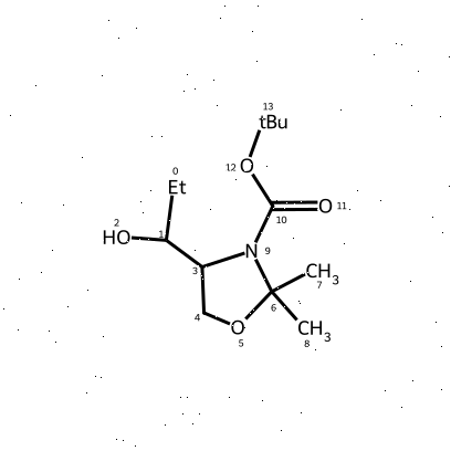 CCC(O)C1COC(C)(C)N1C(=O)OC(C)(C)C